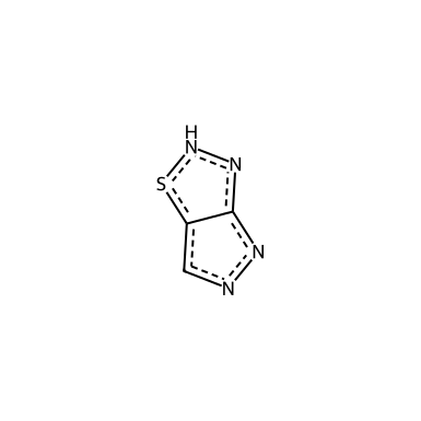 c1nnc2n[nH]sc1-2